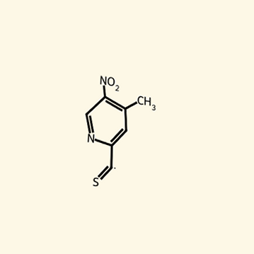 Cc1cc([C]=S)ncc1[N+](=O)[O-]